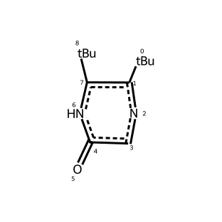 CC(C)(C)c1ncc(=O)[nH]c1C(C)(C)C